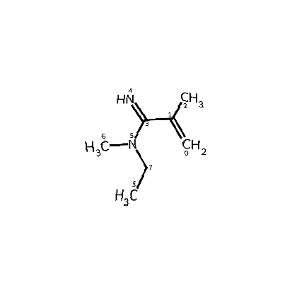 C=C(C)C(=N)N(C)CC